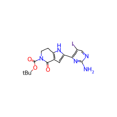 CC(C)(C)OC(=O)N1CCc2[nH]c(-c3nc(N)ncc3I)cc2C1=O